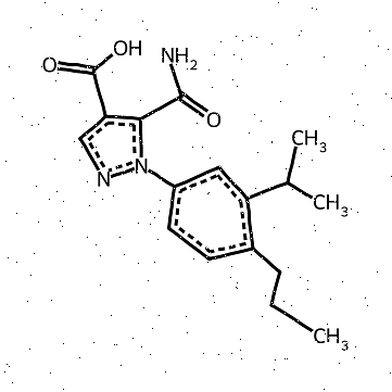 CCCc1ccc(-n2ncc(C(=O)O)c2C(N)=O)cc1C(C)C